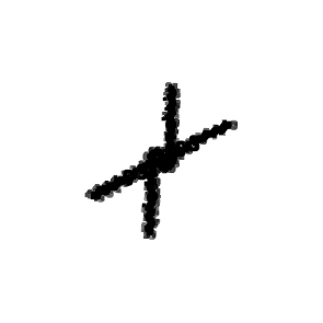 CCCCCCCCSCCSCN(CSCCSCCCCCCCC)c1cccc2c(N(CSCCSCCCCCCCC)CSCCSCCCCCCCC)cccc12